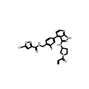 C=CC(=O)N1CCC(Nc2n[nH]c3nccc(-c4ccc(CNC(=O)c5cc(Cl)on5)c(F)c4)c23)C1